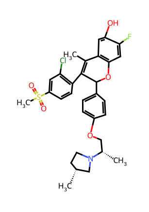 CC1=C(c2ccc(S(C)(=O)=O)cc2Cl)C(c2ccc(OC[C@H](C)N3CC[C@@H](C)C3)cc2)Oc2cc(F)c(O)cc21